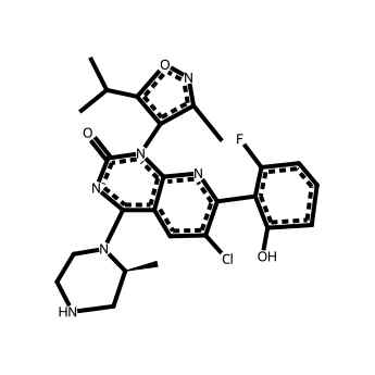 Cc1noc(C(C)C)c1-n1c(=O)nc(N2CCNC[C@@H]2C)c2cc(Cl)c(-c3c(O)cccc3F)nc21